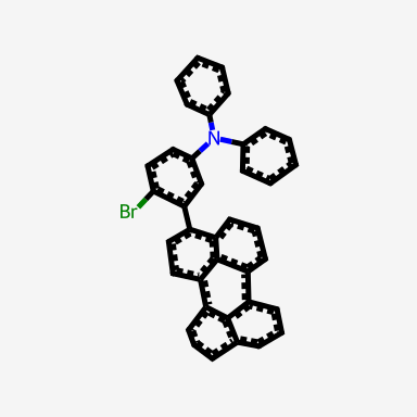 Brc1ccc(N(c2ccccc2)c2ccccc2)cc1-c1ccc2c3cccc4cccc(c5cccc1c52)c43